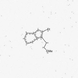 CCc1cc2ccccc2n1CCOC